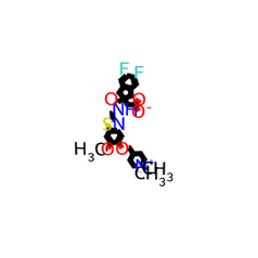 COc1cc2sc(CNC(=O)C3(CC(=O)[O-])Cc4cc(F)c(F)cc4C3)nc2cc1OCC1CC[N+](C)(C)CC1